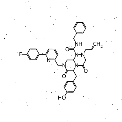 C=CCN1CC(=O)N2C(Cc3ccc(O)cc3)C(=O)N(Cc3cccc(-c4ccc(F)cc4)n3)CC2N1C(=O)NCc1ccccc1